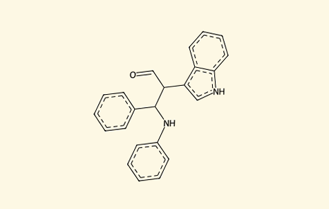 O=CC(c1c[nH]c2ccccc12)C(Nc1ccccc1)c1ccccc1